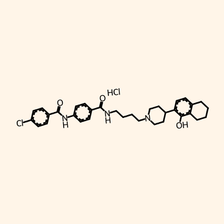 Cl.O=C(NCCCCN1CCC(c2ccc3c(c2O)CCCC3)CC1)c1ccc(NC(=O)c2ccc(Cl)cc2)cc1